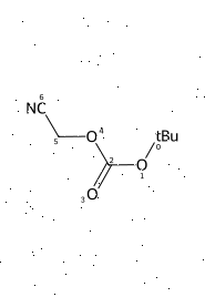 CC(C)(C)OC(=O)OCC#N